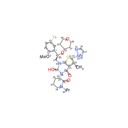 COc1ccc(F)cc1[C@H](CN1c2sc(-n3nccn3)c(C)c2C(=O)N([C@H]2CCCN(C(C)C)C2=O)C1O)OC1CCOCC1